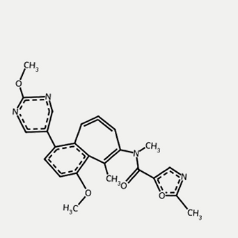 COc1ncc(-c2ccc(OC)c3c2C=C=CC(N(C)C(=O)c2cnc(C)o2)=C3C)cn1